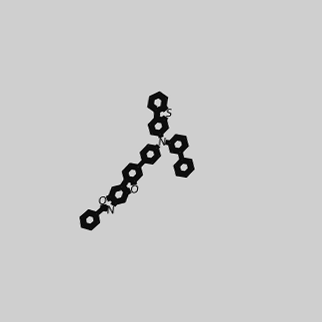 c1ccc(-c2cccc(N(c3ccc(-c4ccc5c(c4)oc4cc6nc(-c7ccccc7)oc6cc45)cc3)c3ccc4c(c3)sc3ccccc34)c2)cc1